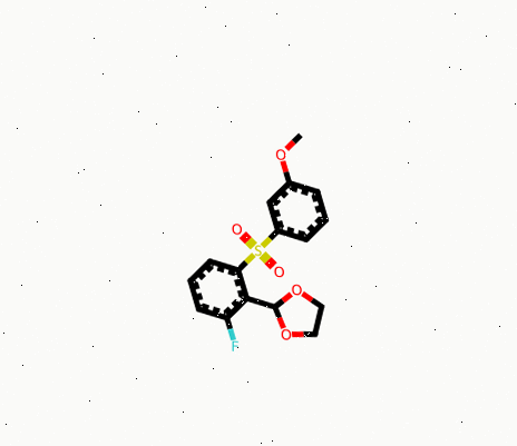 COc1cccc(S(=O)(=O)c2cccc(F)c2C2OCCO2)c1